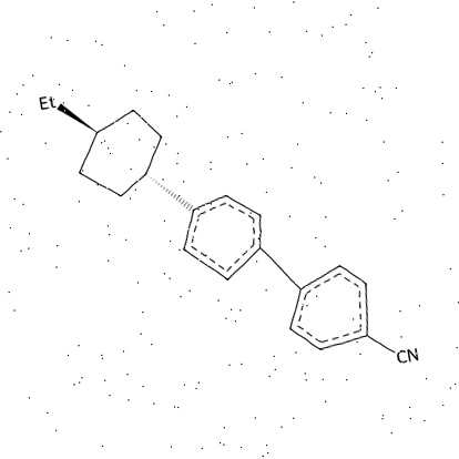 CC[C@H]1CC[C@H](c2ccc(-c3ccc(C#N)cc3)cc2)CC1